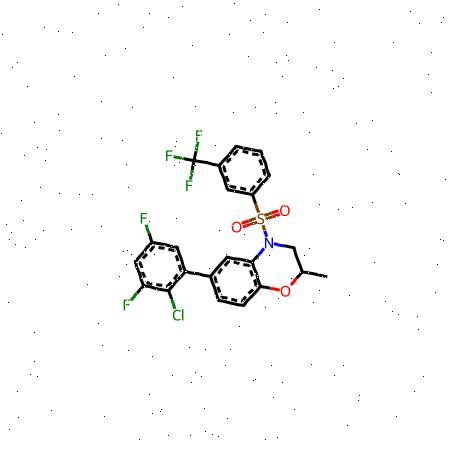 CC1CN(S(=O)(=O)c2cccc(C(F)(F)F)c2)c2cc(-c3cc(F)cc(F)c3Cl)ccc2O1